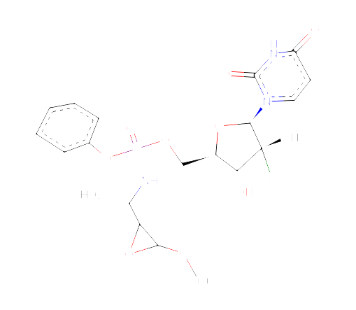 CC(C)OC1OC1[C@H](C)N[P@](=O)(OC[C@H]1O[C@@H](n2ccc(=O)[nH]c2=O)[C@](C)(F)[C@@H]1O)Oc1ccccc1